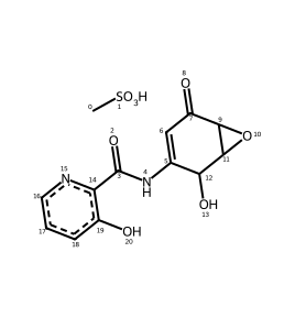 CS(=O)(=O)O.O=C(NC1=CC(=O)C2OC2C1O)c1ncccc1O